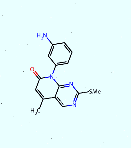 CSc1ncc2c(C)cc(=O)n(-c3cccc(N)c3)c2n1